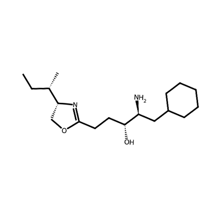 CC[C@H](C)[C@H]1COC(CC[C@@H](O)[C@@H](N)CC2CCCCC2)=N1